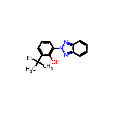 CCC(C)(C)c1cccc(-n2nc3ccccc3n2)c1O